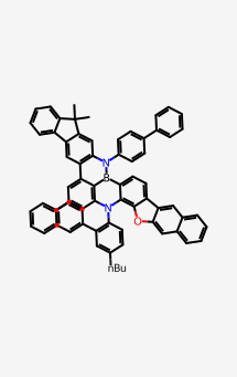 CCCCc1ccc(N2c3cc(-c4ccccc4)cc4c3B(c3ccc5c(oc6cc7ccccc7cc65)c32)N(c2ccc(-c3ccccc3)cc2)c2cc3c(cc2-4)-c2ccccc2C3(C)C)c(-c2ccccc2)c1